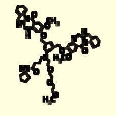 COCCOCCOCCN(CCCC(=O)NC1CCCC1)c1cc(COc2cc3c(cc2OC)C(=O)N2c4ccccc4C[C@H]2C=N3)cc(COc2cc3c(cc2OC)C(=O)N2c4ccccc4C[C@H]2CN3)c1